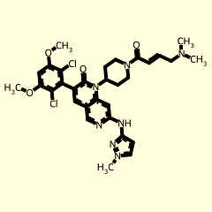 COc1cc(OC)c(Cl)c(-c2cc3cnc(Nc4ccn(C)n4)cc3n(C3CCN(C(=O)/C=C/CN(C)C)CC3)c2=O)c1Cl